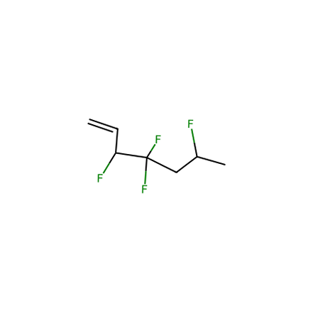 C=CC(F)C(F)(F)CC(C)F